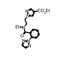 CCOC(=O)c1cnn(CCN(CC)C(=O)c2ccccc2-n2nccn2)c1